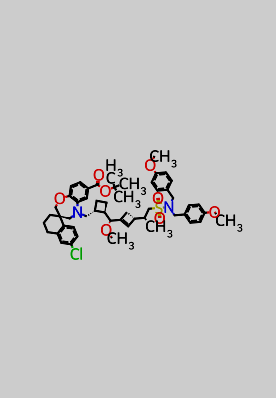 COc1ccc(CN(Cc2ccc(OC)cc2)S(=O)(=O)C[C@@H](C)[C@@H]2C=C([C@H](OC)[C@@H]3CC[C@H]3CN3C[C@@]4(CCCc5cc(Cl)ccc54)COc4ccc(C(=O)OC(C)(C)C)cc43)C2)cc1